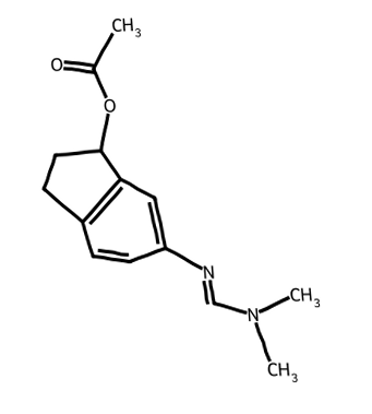 CC(=O)OC1CCc2ccc(/N=C/N(C)C)cc21